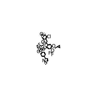 Cn1ccc(-c2ccc(S(=O)(=O)N3CCSC3C(=O)OC(Cc3c(Cl)c[n+]([O-])cc3Cl)c3ccc(OC(F)F)c(OCC4CC4)c3)cc2)n1